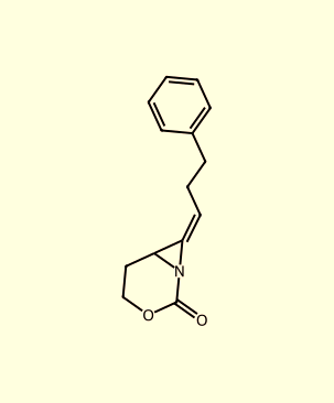 O=C1OCCC2/C(=C\CCc3ccccc3)N12